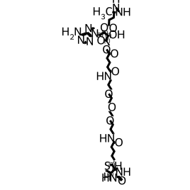 CC1(CCC(=O)O[C@@H]2[C@@H](O)[C@@H](COC(=O)CCCC(=O)NCCCOCCOCCOCCCNC(=O)CCCC[C@H]3SC[C@H]4NC(=O)N[C@H]43)O[C@H]2n2cnc3c(N)ncnc32)NN1